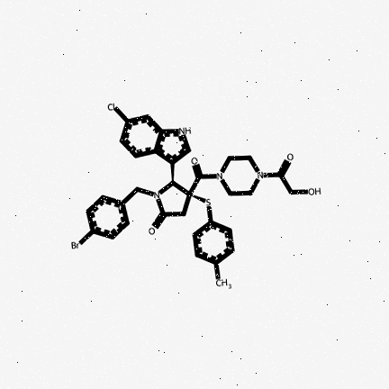 Cc1ccc(S[C@@]2(C(=O)N3CCN(C(=O)CO)CC3)CC(=O)N(Cc3ccc(Br)cc3)[C@H]2c2c[nH]c3cc(Cl)ccc23)cc1